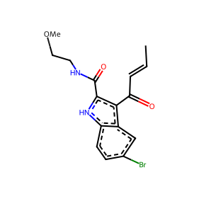 C/C=C/C(=O)c1c(C(=O)NCCOC)[nH]c2ccc(Br)cc12